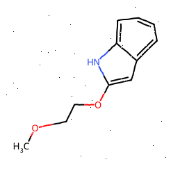 COCCOc1cc2ccccc2[nH]1